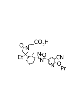 CCC1(c2cccc(-c3noc(-c4cnc(OC(C)C)c(C#N)c4)n3)c2C)CC(=O)N(CCC(=O)O)C1